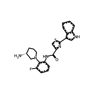 N[C@@H]1CCCN(c2c(F)cccc2NC(=O)c2csc(-c3c[nH]c4ccccc34)n2)C1